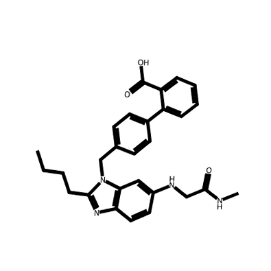 CCCCc1nc2ccc(NCC(=O)NC)cc2n1Cc1ccc(-c2ccccc2C(=O)O)cc1